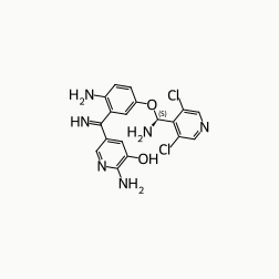 N=C(c1cnc(N)c(O)c1)c1cc(O[C@H](N)c2c(Cl)cncc2Cl)ccc1N